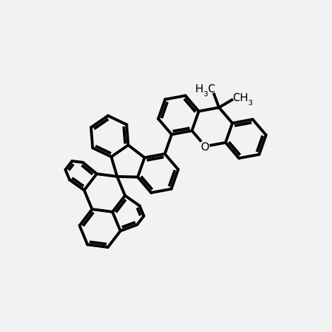 CC1(C)c2ccccc2Oc2c(-c3cccc4c3-c3ccccc3C43c4ccccc4-c4cccc5cccc3c45)cccc21